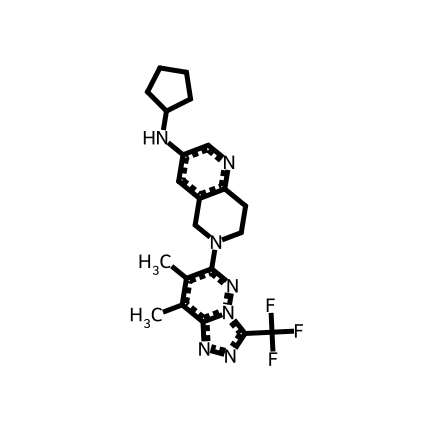 Cc1c(N2CCc3ncc(NC4CCCC4)cc3C2)nn2c(C(F)(F)F)nnc2c1C